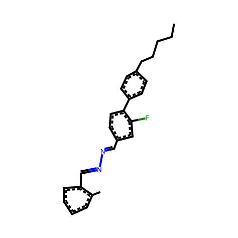 CCCCCc1ccc(-c2ccc(C=NN=Cc3ccccc3C)cc2F)cc1